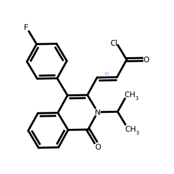 CC(C)n1c(/C=C/C(=O)Cl)c(-c2ccc(F)cc2)c2ccccc2c1=O